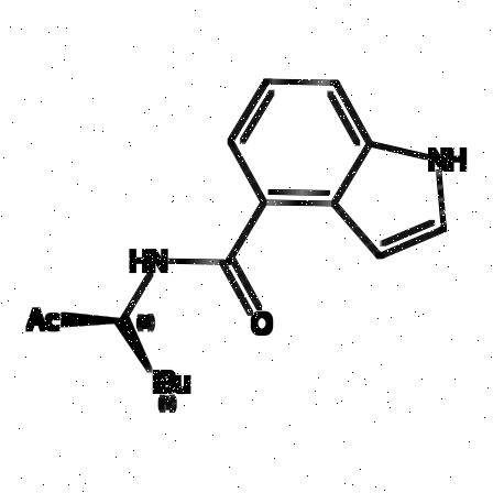 CC[C@H](C)[C@H](NC(=O)c1cccc2[nH]ccc12)C(C)=O